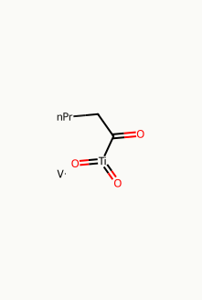 CCCC[C](=O)[Ti](=[O])=[O].[V]